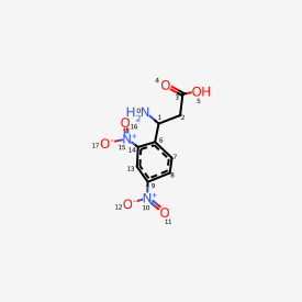 NC(CC(=O)O)c1ccc([N+](=O)[O-])cc1[N+](=O)[O-]